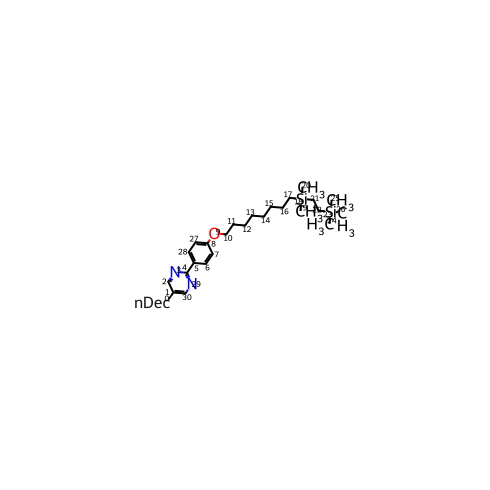 CCCCCCCCCCc1cnc(-c2ccc(OCCCCCCCC[Si](C)(C)CC[Si](C)(C)C)cc2)nc1